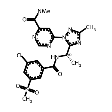 CNC(=O)c1cc(-n2nc(C)nc2[C@H](C)NC(=O)c2cc(Cl)cc(S(C)(=O)=O)c2)ncn1